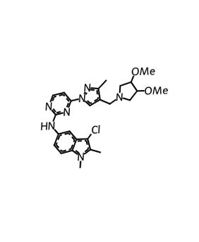 COC1CN(Cc2cn(-c3ccnc(Nc4ccc5c(c4)c(Cl)c(C)n5C)n3)nc2C)CC1OC